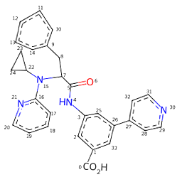 O=C(O)c1cc(NC(=O)C(Cc2ccccc2)N(c2ccccn2)C2CC2)cc(-c2ccncc2)c1